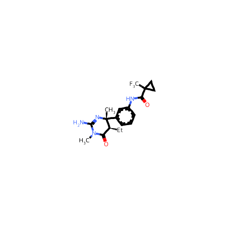 CC[C@H]1C(=O)N(C)C(N)=N[C@]1(C)c1cccc(NC(=O)C2(C(F)(F)F)CC2)c1